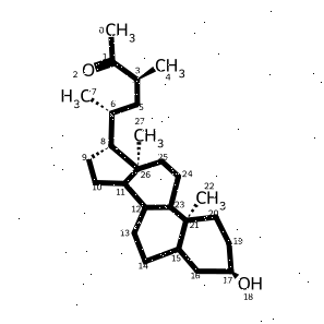 CC(=O)[C@@H](C)C[C@@H](C)[C@H]1CCC2C3CCC4C[C@H](O)CC[C@]4(C)C3CC[C@@]21C